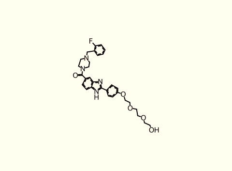 O=C(c1ccc2[nH]c(-c3ccc(OCCOCCOCCO)cc3)nc2c1)N1CCN(Cc2ccccc2F)CC1